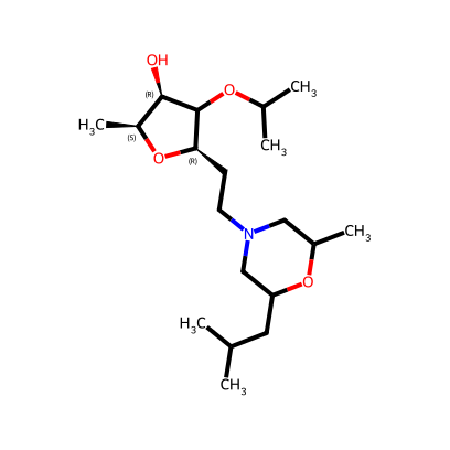 CC(C)CC1CN(CC[C@H]2O[C@@H](C)[C@@H](O)C2OC(C)C)CC(C)O1